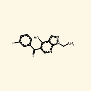 CCn1ncc2c(O)c(C(=O)c3cccc(F)c3)cnc21